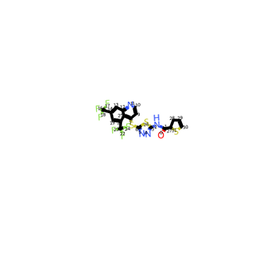 O=C(Nc1nnc(Sc2ccnc3cc(C(F)(F)F)cc(C(F)(F)F)c23)s1)C1CC=CS1